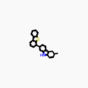 CC1C=Cc2[nH]c3cc(-c4cccc5c4sc4ccccc45)ccc3c2C1